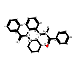 C[C@@H]1CCCN(N(C)C(=O)c2ccccc2)[C@@H]1N(c1ccccc1)N(C)C(=O)c1ccccc1